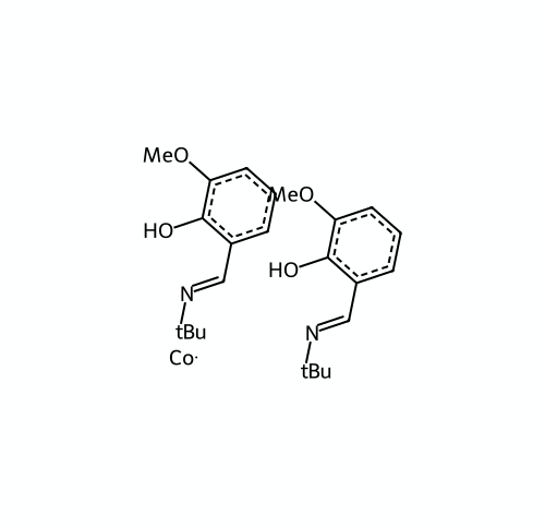 COc1cccc(C=NC(C)(C)C)c1O.COc1cccc(C=NC(C)(C)C)c1O.[Co]